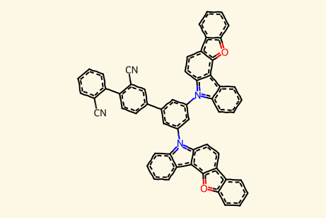 N#Cc1ccccc1-c1ccc(-c2cc(-n3c4ccccc4c4c5oc6ccccc6c5ccc43)cc(-n3c4ccccc4c4c5oc6ccccc6c5ccc43)c2)cc1C#N